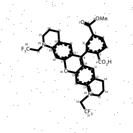 COC(=O)c1ccc(C(=O)O)c(C2=c3cc4c(cc3Oc3cc5c(cc32)CCCN5CC(F)(F)F)=[N+](CC(F)(F)F)CCC4)c1